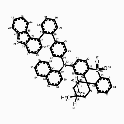 C[C@@H]1C[C@H]2CCCC1CC21c2ccccc2S(=O)(=O)c2ccc(N(c3ccc(-c4ccccc4-c4cccc5sc6ccccc6c45)cc3)c3cccc4ccccc34)cc21